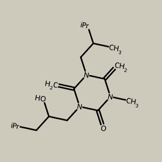 C=C1N(C)C(=O)N(CC(O)CC(C)C)C(=C)N1CC(C)C(C)C